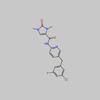 Cn1cc(C(=O)Nc2ccc(Cc3cc(F)cc(Cl)c3)cn2)n(C)c1=O